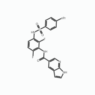 CCCc1ccc(S(=O)(=O)Nc2ccc(F)c(NC(=O)c3cnc4[nH]ccc4c3)c2F)cc1